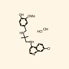 COc1cc(CNC(C)(C)CNc2ccnc3cc(Cl)ccc23)ccc1O.Cl.Cl